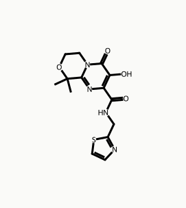 CC1(C)OCCn2c1nc(C(=O)NCc1nccs1)c(O)c2=O